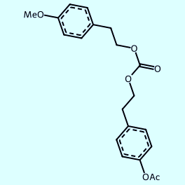 COc1ccc(CCOC(=O)OCCc2ccc(OC(C)=O)cc2)cc1